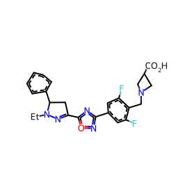 CCN1N=C(c2nc(-c3cc(F)c(CN4CC(C(=O)O)C4)c(F)c3)no2)CC1c1ccccc1